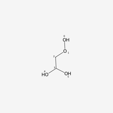 OOCC(O)O